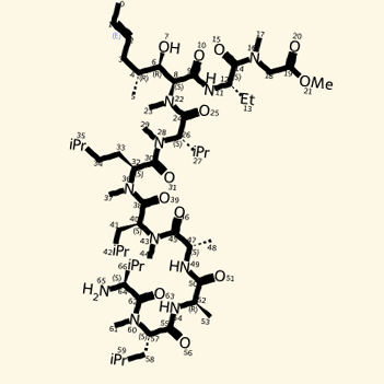 C/C=C/C[C@@H](C)[C@@H](O)[C@@H](C(=O)N[C@@H](CC)C(=O)N(C)CC(=O)OC)N(C)C(=O)[C@H](C(C)C)N(C)C(=O)[C@H](CCC(C)C)N(C)C(=O)[C@H](CC(C)C)N(C)C(=O)[C@H](C)NC(=O)[C@@H](C)NC(=O)[C@H](CC(C)C)N(C)C(=O)[C@@H](N)C(C)C